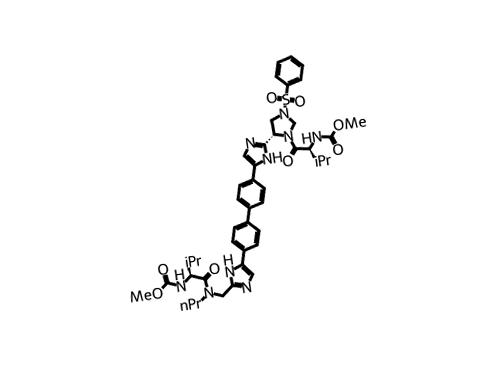 CCCN(Cc1ncc(-c2ccc(-c3ccc(-c4cnc([C@@H]5CN(S(=O)(=O)c6ccccc6)CN5C(=O)[C@@H](NC(=O)OC)C(C)C)[nH]4)cc3)cc2)[nH]1)C(=O)[C@@H](NC(=O)OC)C(C)C